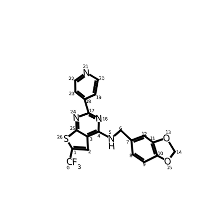 FC(F)(F)c1cc2c(NCc3ccc4c(c3)OCO4)nc(-c3ccncc3)nc2s1